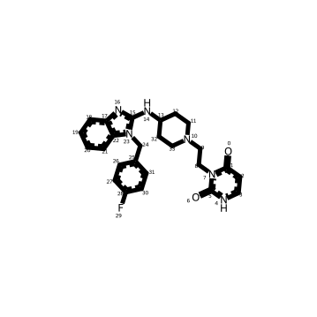 O=c1cc[nH]c(=O)n1CCN1CCC(Nc2nc3ccccc3n2Cc2ccc(F)cc2)CC1